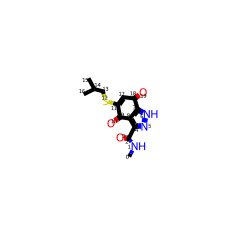 CNC(=O)c1n[nH]c2c1C(=O)C(SCC(C)C)=CC2=O